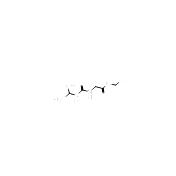 CCOC(=O)CNC(=O)NC(C)C